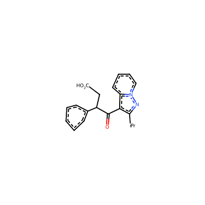 CC(C)c1nn2ccccc2c1C(=O)C(CC(=O)O)c1ccccc1